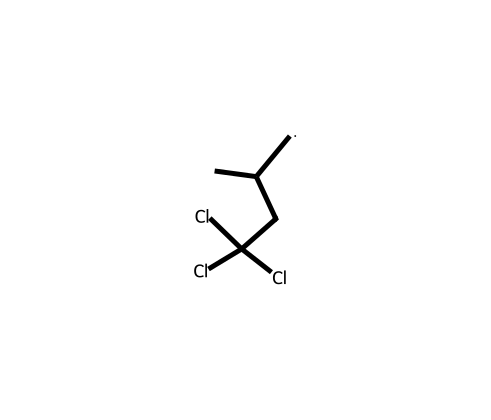 [CH2]C(C)CC(Cl)(Cl)Cl